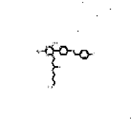 CCCCNC(=O)CCc1nc(N)nc(N)c1-c1ccc(NCc2ccc(Cl)cc2)cc1